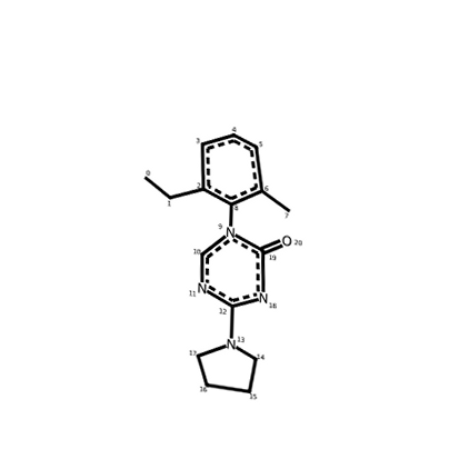 CCc1cccc(C)c1-n1cnc(N2CCCC2)nc1=O